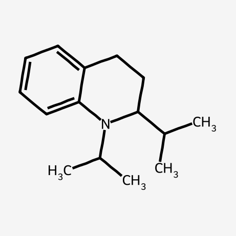 CC(C)C1CCc2ccccc2N1C(C)C